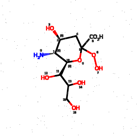 N[C@@H]1[C@@H](O)CC(OO)(C(=O)O)O[C@H]1C(O)C(O)CO